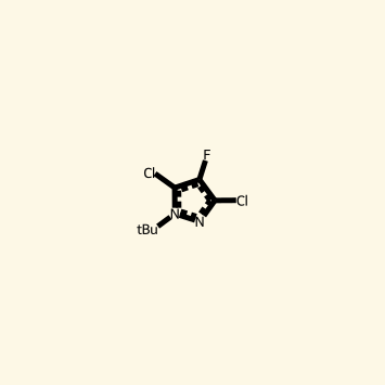 CC(C)(C)n1nc(Cl)c(F)c1Cl